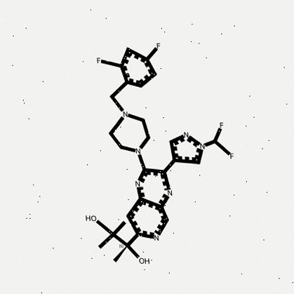 CC(C)(O)[C@@](C)(O)c1cc2nc(N3CCN(Cc4ccc(F)cc4F)CC3)c(-c3cnn(C(F)F)c3)nc2cn1